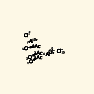 CC(=O)[O-].CC(=O)[O-].CC(=O)[O-].[Al+3].[Al+3].[Cl-].[Cl-].[Cl-]